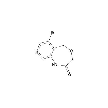 O=C1COCc2c(Br)cncc2N1